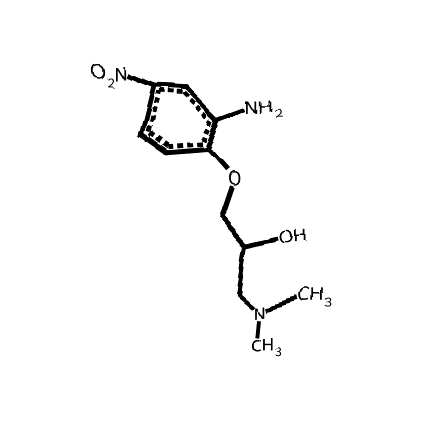 CN(C)CC(O)COc1ccc([N+](=O)[O-])cc1N